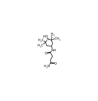 CC1(C)CC(NC(=O)CCC(N)=O)CC(C)(C)N1O